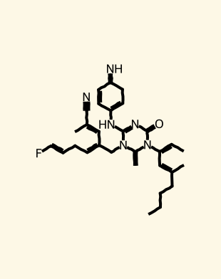 C=C1N(CC(=CC/C=C/F)/C=C(\C)C#N)C(NC2=CCC(=N)C=C2)=NC(=O)N1C(/C=C(\C)CCCC)=C/C